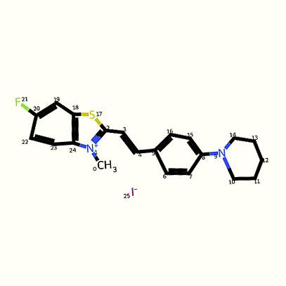 C[n+]1c(C=Cc2ccc(N3CCCCC3)cc2)sc2cc(F)ccc21.[I-]